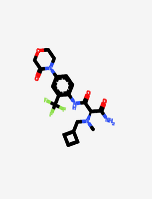 CN(CC1CCC1)[C@H](C(N)=O)C(=O)Nc1ccc(N2CCOCC2=O)cc1C(F)(F)F